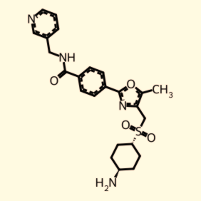 Cc1oc(-c2ccc(C(=O)NCc3cccnc3)cc2)nc1CS(=O)(=O)[C@H]1CC[C@H](N)CC1